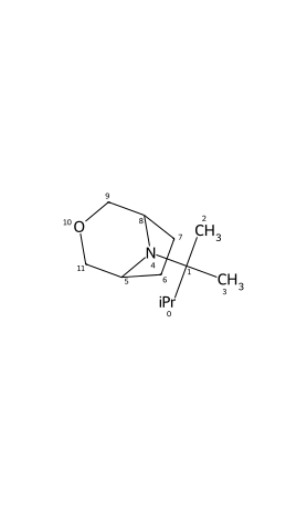 CC(C)C(C)(C)N1C2CCC1COC2